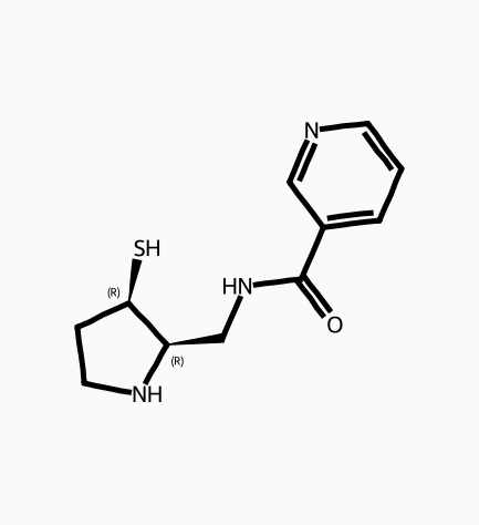 O=C(NC[C@H]1NCC[C@H]1S)c1cccnc1